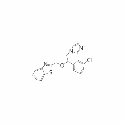 Clc1cccc(C(Cn2ccnc2)OCc2nc3ccccc3s2)c1